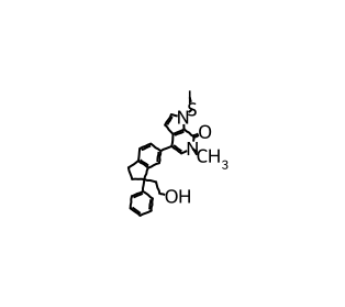 Cn1cc(-c2ccc3c(c2)C(CCO)(c2ccccc2)CC3)c2ccn(SI)c2c1=O